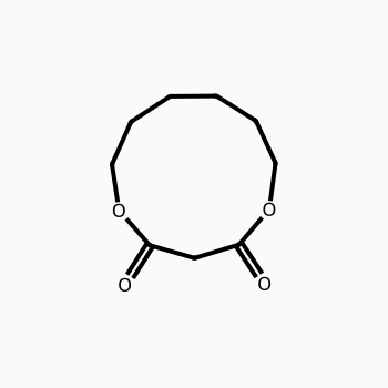 O=C1CC(=O)OCCCCCCO1